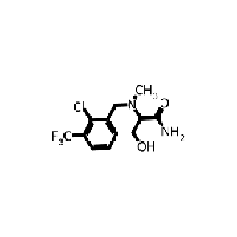 CN(Cc1cccc(C(F)(F)F)c1Cl)C(CO)C(N)=O